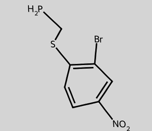 O=[N+]([O-])c1ccc(SCP)c(Br)c1